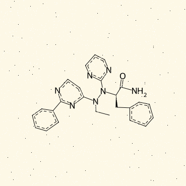 CCN(c1ccnc(-c2ccccc2)n1)N(c1ncccn1)[C@H](Cc1ccccc1)C(N)=O